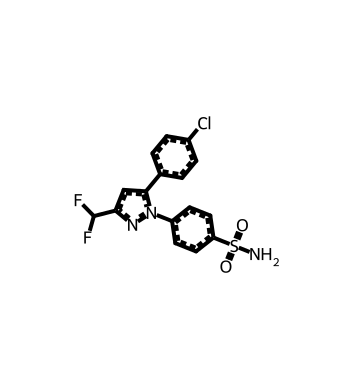 NS(=O)(=O)c1ccc(-n2nc(C(F)F)cc2-c2ccc(Cl)cc2)cc1